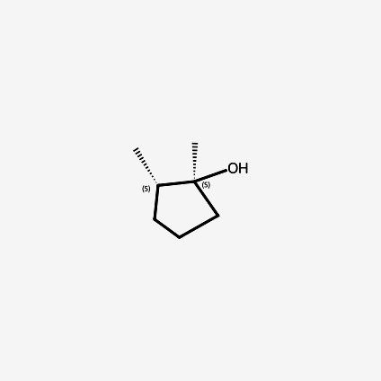 C[C@H]1CCC[C@]1(C)O